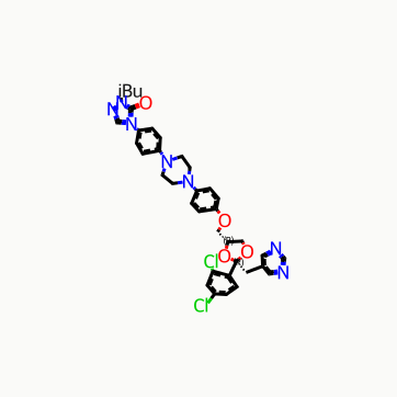 CCC(C)n1ncn(-c2ccc(N3CCN(c4ccc(OC[C@@H]5CO[C@@](Cc6cncnc6)(c6ccc(Cl)cc6Cl)O5)cc4)CC3)cc2)c1=O